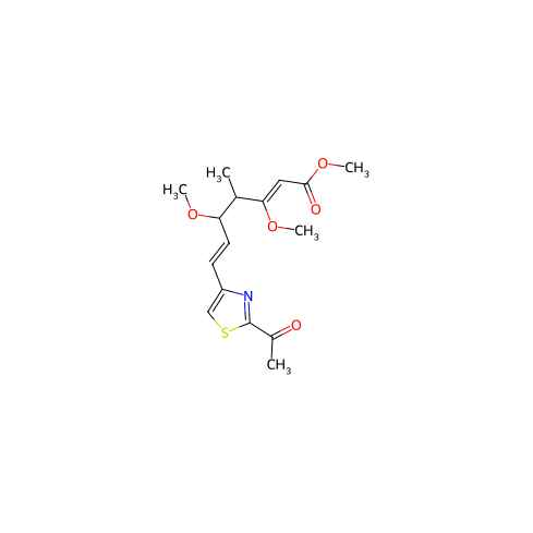 COC(=O)C=C(OC)C(C)C(C=Cc1csc(C(C)=O)n1)OC